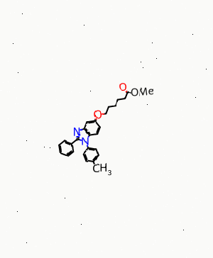 COC(=O)CCCCCOc1ccc2c(c1)nc(-c1ccccc1)n2-c1ccc(C)cc1